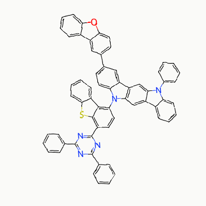 c1ccc(-c2nc(-c3ccccc3)nc(-c3ccc(-n4c5ccc(-c6ccc7oc8ccccc8c7c6)cc5c5cc6c(cc54)c4ccccc4n6-c4ccccc4)c4c3sc3ccccc34)n2)cc1